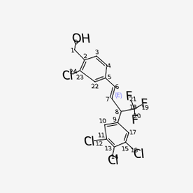 OCc1ccc(/C=C/C(c2cc(Cl)c(Cl)c(Cl)c2)C(F)(F)F)cc1Cl